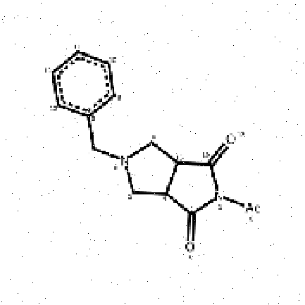 CC(=O)N1C(=O)C2CN(Cc3ccccc3)CC2C1=O